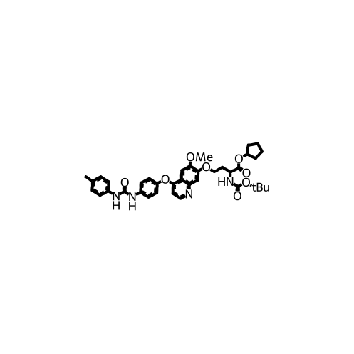 COc1cc2c(Oc3ccc(NC(=O)Nc4ccc(C)cc4)cc3)ccnc2cc1OCCC(NC(=O)OC(C)(C)C)C(=O)OC1CCCC1